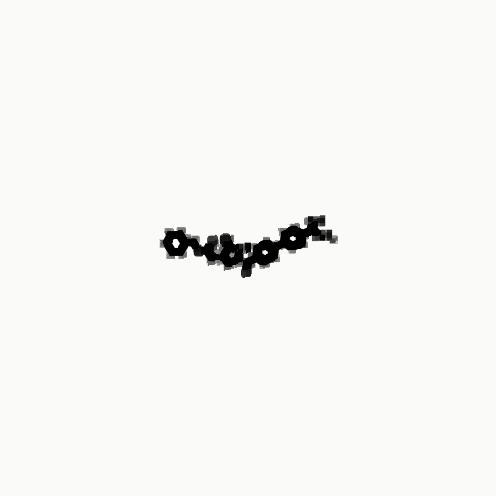 N=C(N)c1ccc(-c2ccc(C(=O)[C@@H]3C[C@@H](CC(=O)OCC4CCCCC4)C(=O)N3)cc2)cc1